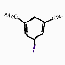 COC1=CC(I)C=C(OC)C1